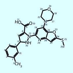 Cc1cccc(C2C=C(C(=O)O)N(c3cc(N4CCOCC4)c4oc(SI)cc4n3)N2)c1